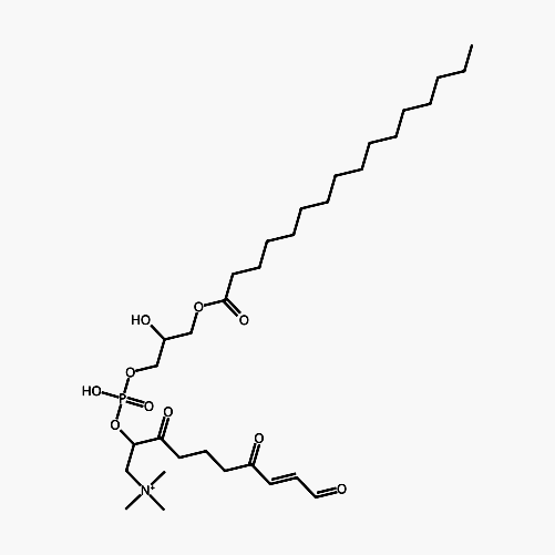 CCCCCCCCCCCCCCCC(=O)OCC(O)COP(=O)(O)OC(C[N+](C)(C)C)C(=O)CCCC(=O)C=CC=O